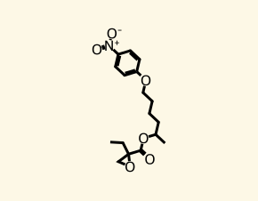 CCC1(C(=O)OC(C)CCCCOc2ccc([N+](=O)[O-])cc2)CO1